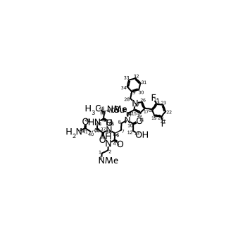 CNCCNC(=O)[C@H](CCN(C(=O)CO)[C@@H](c1cc(-c2cc(F)ccc2F)cn1Cc1ccccc1)C(C)(C)C)NC(=O)[C@H](CC(N)=O)NC(=O)[C@H](C)NC